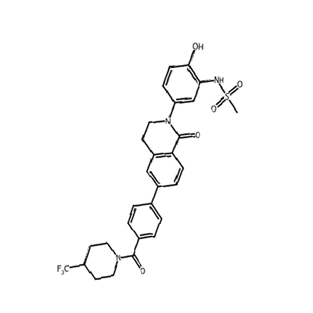 CS(=O)(=O)Nc1cc(N2CCc3cc(-c4ccc(C(=O)N5CCC(C(F)(F)F)CC5)cc4)ccc3C2=O)ccc1O